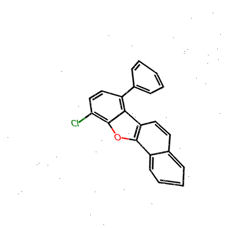 Clc1ccc(-c2ccccc2)c2c1oc1c3ccccc3ccc12